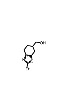 CCc1nc2c(s1)CC(CO)CC2